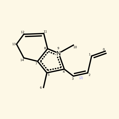 C=C/C=C\c1c(C)c2c(n1C)C=CCC2